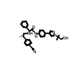 C[C@H](CN[C@H](C(=O)Nc1ccc(-c2cnn(C(C)(C)CO)c2)cc1)c1ccccc1)c1ccc(C#N)cc1